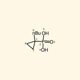 CCCCC1(P(=O)(O)O)CC1